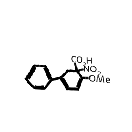 COC1=CC=C(c2ccccc2)CC1(C(=O)O)[N+](=O)[O-]